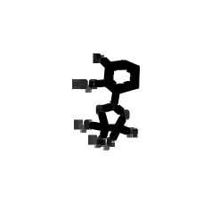 CCC1(C)OB(c2cccc(Br)c2C(=O)O)OC1(C)C